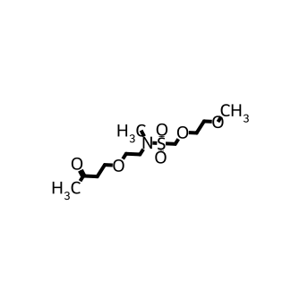 COCCOCS(=O)(=O)N(C)CCOCCC(C)=O